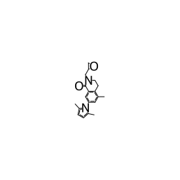 Cc1cc(-n2c(C)ccc2C)cc2c1CCN(CC1CO1)C2=O